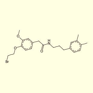 COc1cc(CC(=O)NCCCc2ccc(C)c(C)c2)ccc1OCCBr